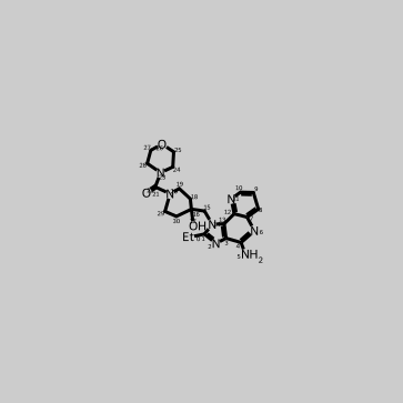 CCc1nc2c(N)nc3cccnc3c2n1CC1(O)CCN(C(=O)N2CCOCC2)CC1